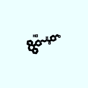 Cl.O=CN1CCC(C(=O)NCCN2CCC(=C3c4ccccc4C=Cc4ccccc43)CC2)CC1